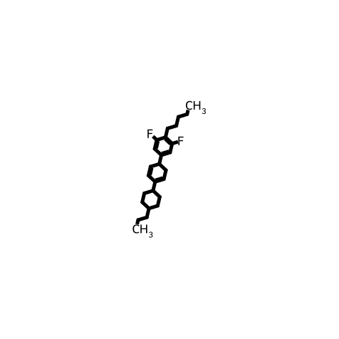 CCCCCc1c(F)cc(C2C=CC(C3CCC(CCC)CC3)=CC2)cc1F